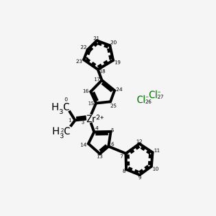 C[C](C)=[Zr+2]([C]1=CC(c2ccccc2)=CC1)[C]1=CC(c2ccccc2)=CC1.[Cl-].[Cl-]